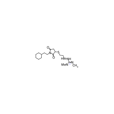 C/N=C(\NC)NNCCSC1CC(=O)N(CCC2CCCCC2)C1=O